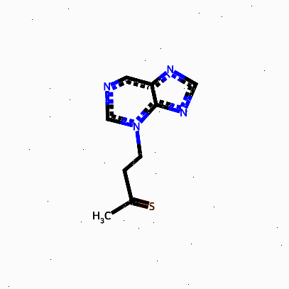 CC(=S)CCn1cncc2ncnc1-2